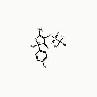 [2H]C([2H])(C(C)C)S(=O)(=O)OC1=C(N)O[C@@]([2H])(c2ccc(Cl)cc2)C1=O